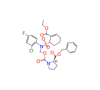 CCOC(=O)C1=CCCCC1S(=O)(=O)N(COC(=O)N1CCC[C@@H]1C(=O)OCc1ccccc1)c1ccc(F)cc1Cl